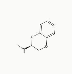 CN[C@@H]1COc2ccccc2O1